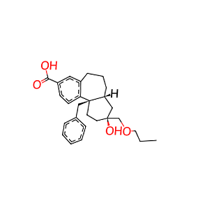 CCCOC[C@]1(O)CC[C@]2(Cc3ccccc3)c3ccc(C(=O)O)cc3CCC[C@@H]2C1